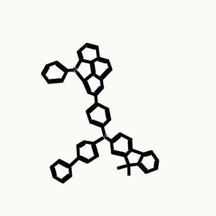 CC1(C)c2ccccc2-c2ccc(N(c3ccc(-c4ccccc4)cc3)c3ccc(-c4cc5ccc6cccc7c6c5c(c4)n7-c4ccccc4)cc3)cc21